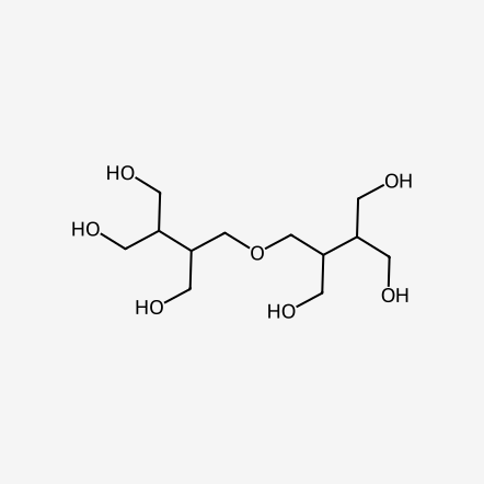 OCC(CO)C(CO)COCC(CO)C(CO)CO